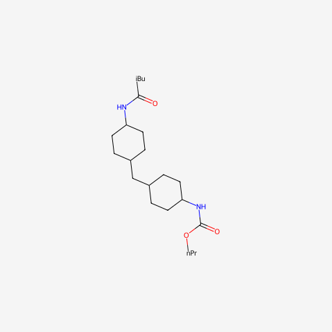 CCCOC(=O)NC1CCC(CC2CCC(NC(=O)C(C)CC)CC2)CC1